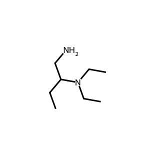 CCC(CN)N(CC)CC